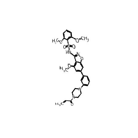 C=CC(=O)N1CCN(c2cccc(-c3cc(OC)c4c(NS(=O)(=O)c5c(OC)cccc5OC)noc4c3)c2)CC1